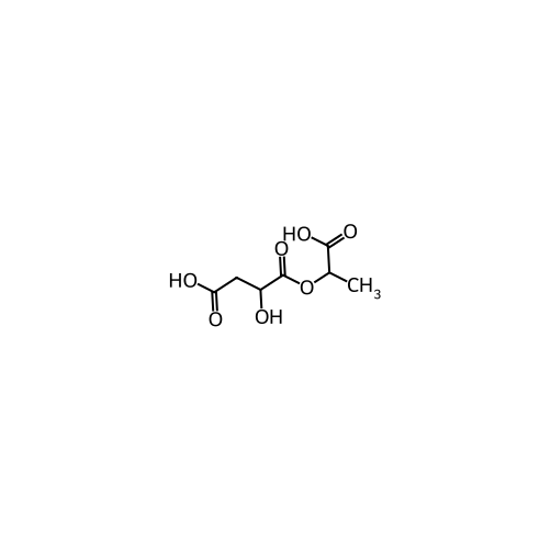 CC(OC(=O)C(O)CC(=O)O)C(=O)O